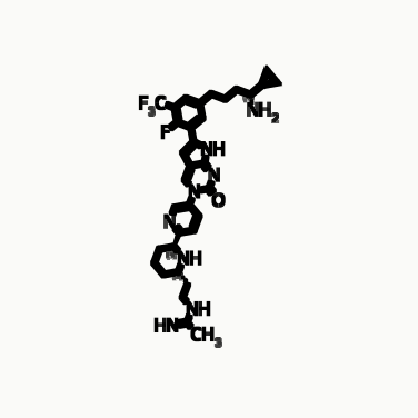 CC(=N)NCC[C@@H]1CCC[C@@H](c2ccc(-n3cc4cc(-c5cc(CCC[C@@H](N)C6CC6)cc(C(F)(F)F)c5F)[nH]c4nc3=O)cn2)N1